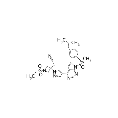 CCS(=O)(=O)N1CC(CC#N)(n2cc(-c3ncnc4c3ccn4C(=O)[C@@H](C)c3ccc(CC(C)C)cc3)cn2)C1